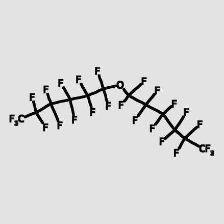 FC(F)(F)C(F)(F)C(F)(F)C(F)(F)C(F)(F)C(F)(F)OC(F)(F)C(F)(F)C(F)(F)C(F)(F)C(F)(F)C(F)(F)F